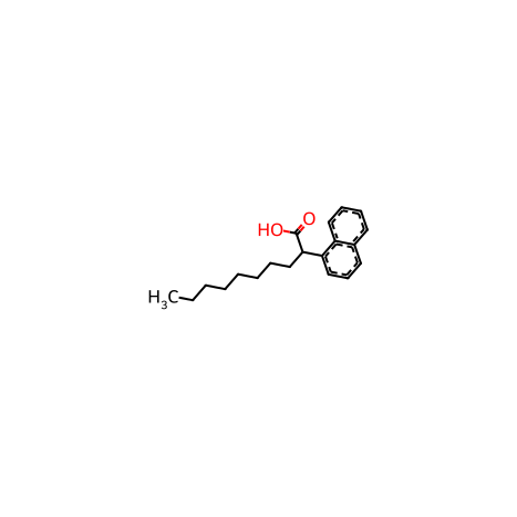 CCCCCCCCC(C(=O)O)c1cccc2ccccc12